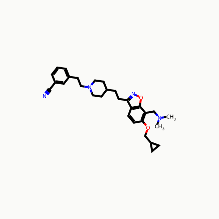 CN(C)Cc1c(OCC2CC2)ccc2c(CCC3CCN(CCc4cccc(C#N)c4)CC3)noc12